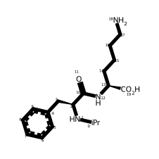 CC(C)N[C@@H](Cc1ccccc1)C(=O)N[C@@H](CCCCN)C(=O)O